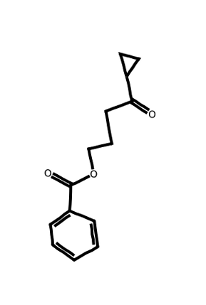 O=C(OCCCC(=O)C1CC1)c1ccccc1